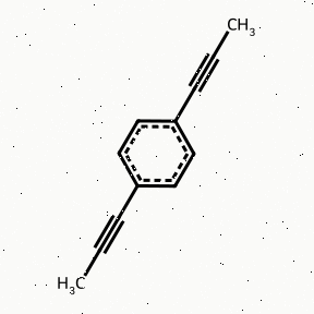 CC#Cc1ccc(C#CC)cc1